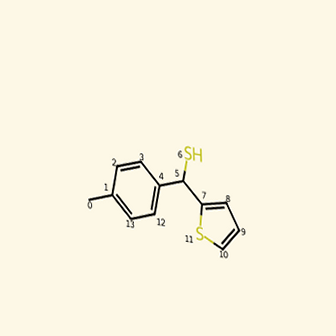 Cc1ccc(C(S)c2cccs2)cc1